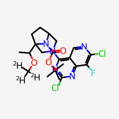 [2H]C([2H])([2H])OC(C)C12CCC(CN(c3nc(Cl)nc4c(F)c(Cl)ncc34)C1)N2C(=O)OC(C)(C)C